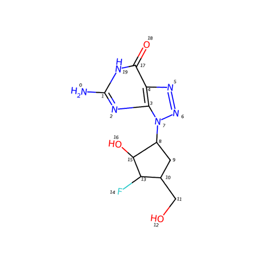 Nc1nc2c(nnn2C2CC(CO)C(F)C2O)c(=O)[nH]1